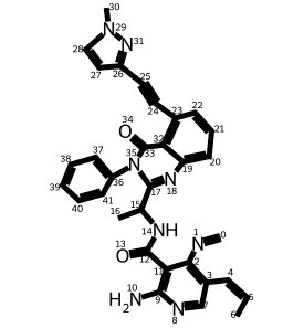 C=Nc1c(/C=C\C)cnc(N)c1C(=O)NC(C)c1nc2cccc(C#Cc3ccn(C)n3)c2c(=O)n1-c1ccccc1